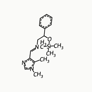 Cc1c(C=NCC(O[Si](C)(C)C)c2ccccc2)ncn1C